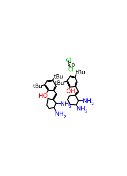 CC(C)(C)c1cc(C=C2CCCC(N)C2N)c(O)c(C(C)(C)C)c1.CC(C)(C)c1cc(C=C2CCCC(N)C2N)c(O)c(C(C)(C)C)c1.[Cl][Co][Cl]